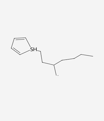 [CH2]C(CCCC)CC[SH]1C=CC=C1